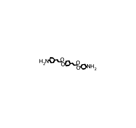 Nc1ccc(/C=C/C(=O)Oc2ccc(/C=C/C(=O)Oc3ccc(N)cc3)cc2)cc1